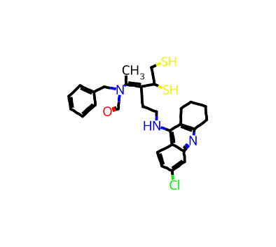 CC(=C(CCNc1c2c(nc3cc(Cl)ccc13)CCCC2)C(S)CS)N(C=O)Cc1ccccc1